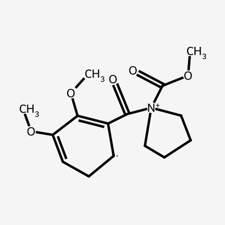 COC(=O)[N+]1(C(=O)C2=C(OC)C(OC)=CC[CH]2)CCCC1